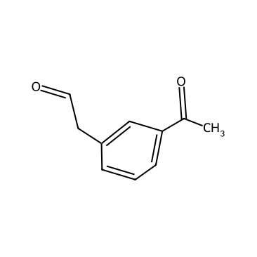 CC(=O)c1cccc(CC=O)c1